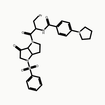 CC(C)CC(NC(=O)c1ccc(N2CCCC2)cc1)C(=O)N1CCC2C1C(=O)CN2S(=O)(=O)c1ccccc1